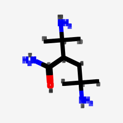 CC(C)(N)CC(C(N)=O)C(C)(C)N